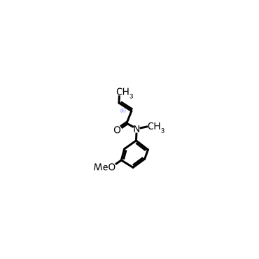 C/C=C/C(=O)N(C)c1cccc(OC)c1